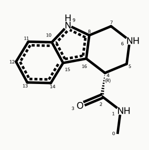 CNC(=O)[C@H]1CNCc2[nH]c3ccccc3c21